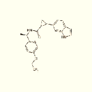 C[C@@H](NC(=O)C1CC1c1ccc2cc[nH]c2c1)c1ccc(OCC(F)(F)F)cn1